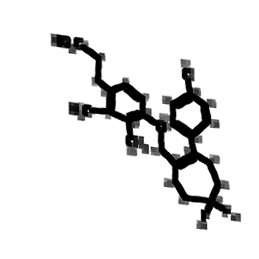 Cc1c(CCC(=O)O)ccc(OCC2=C(c3ccc(Cl)cc3)CCC(F)(F)CC2)c1C